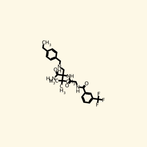 CCc1ccc(CNCC(NC(=O)CNC(=O)c2cccc(C(F)(F)F)c2)(C(N)=O)C(C)(C)C)cc1